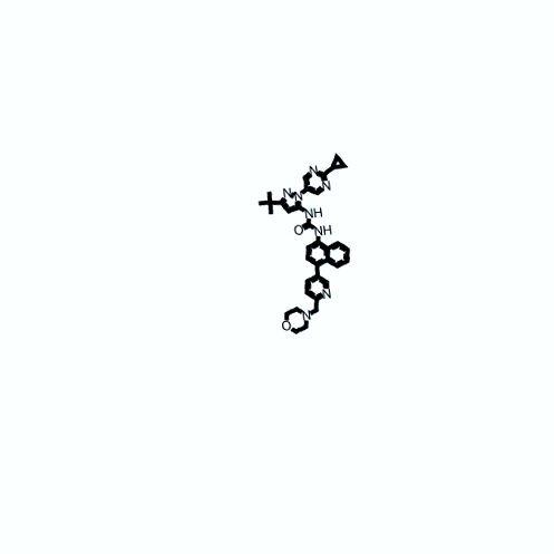 CC(C)(C)c1cc(NC(=O)Nc2ccc(-c3ccc(CN4CCOCC4)nc3)c3ccccc23)n(-c2cnc(C3CC3)nc2)n1